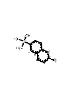 CS(C)(C)c1ccc2nc(Cl)ccc2c1